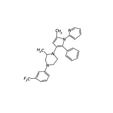 Cc1cc(N2CCN(c3cccc(C(F)(F)F)c3)CC2C)c(-c2ccccc2)n1-c1ccccn1